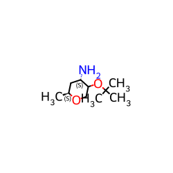 C[C@H]1C[C@H](N)C(OC(C)(C)C)CO1